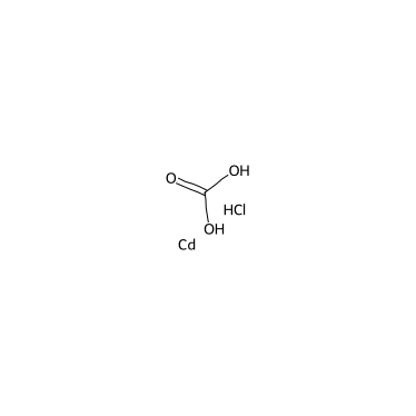 Cl.O=C(O)O.[Cd]